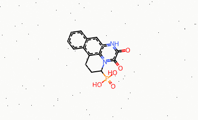 O=c1[nH]c2cc3ccccc3c3c2n(c1=O)C(P(=O)(O)O)CC3